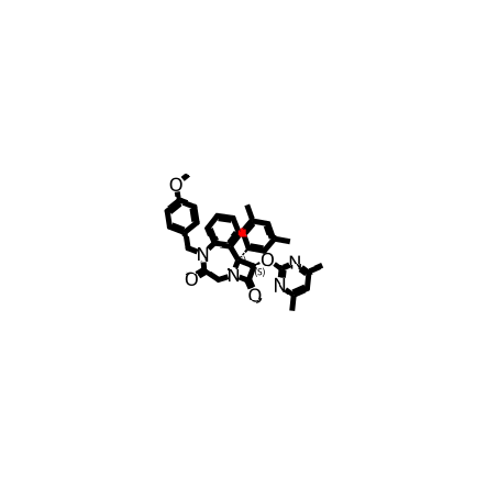 COc1ccc(CN2C(=O)CN3C(=O)[C@@H](Oc4nc(C)cc(C)n4)[C@]3(c3cc(C)cc(C)c3)c3ccccc32)cc1